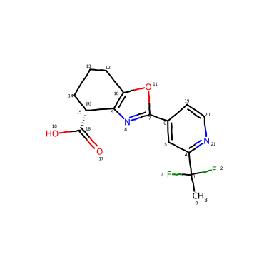 CC(F)(F)c1cc(-c2nc3c(o2)CCC[C@H]3C(=O)O)ccn1